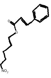 O=C(C=Cc1ccccc1)OCCCCC[N+](=O)[O-]